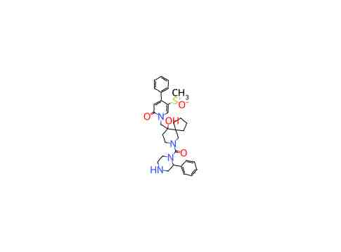 C[S+]([O-])c1cn(CC2(O)CCN(C(=O)N3CCNCC3c3ccccc3)CC23CCCC3)c(=O)cc1-c1ccccc1